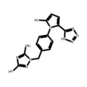 CCCCc1nc(CCC)nn1Cc1ccc(-n2c(C#N)ccc2-c2nnn[nH]2)cc1